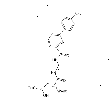 CCCCC[C@H](CN(O)C=O)C(=O)NCNC(=O)c1cccc(-c2ccc(C(F)(F)F)cc2)n1